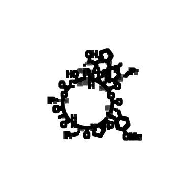 CC[C@H](C)[C@@H]1NC(=O)[C@@H](NC(=O)[C@@H](CC(C)C)N(C)C(=O)[C@@H]2CCCN2C(=O)[C@H](C)O)[C@@H](C)OC(=O)[C@H](Cc2ccc(OC)cc2)N(C)C(=O)[C@@H]2CCCN2C(=O)[C@H](CC(C)C)NC(=O)[C@@H](C)C(=O)[C@H](C(C)C)OC(=O)C[C@@H]1O